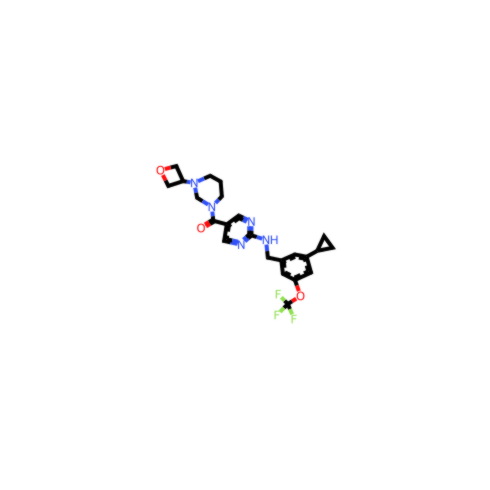 O=C(c1cnc(NCc2cc(OC(F)(F)F)cc(C3CC3)c2)nc1)N1CCCN(C2COC2)C1